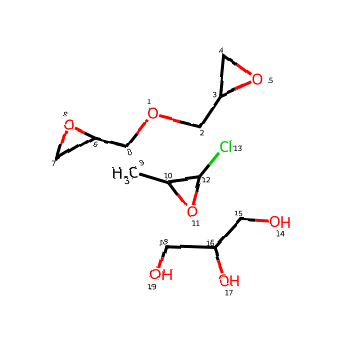 C(OCC1CO1)C1CO1.CC1OC1Cl.OCC(O)CO